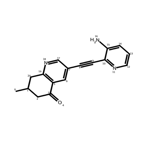 CC1CC(=O)c2cc(C#Cc3ncccc3N)cnc2C1